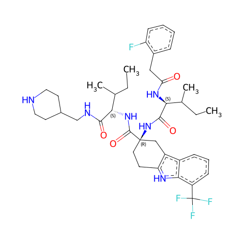 CCC(C)[C@H](NC(=O)Cc1ccccc1F)C(=O)N[C@]1(C(=O)N[C@H](C(=O)NCC2CCNCC2)C(C)CC)CCc2[nH]c3c(C(F)(F)F)cccc3c2C1